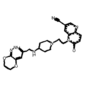 C=C(/C=C1/OCCO/C1=N/N)CNC1CCN(CCn2c(=O)ccc3ncc(C#N)cc32)CC1